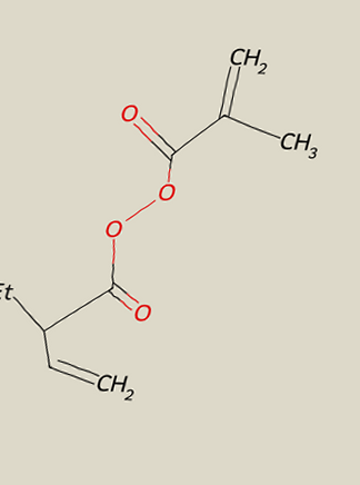 C=CC(CC)C(=O)OOC(=O)C(=C)C